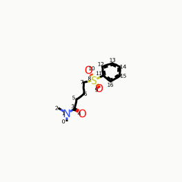 CN(C)C(=O)CCCS(=O)(=O)c1ccccc1